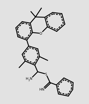 Cc1cc(-c2cccc3c2Oc2ccccc2C3(C)C)cc(C)c1C(N)SC(=N)c1ccccc1